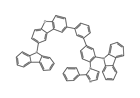 c1ccc(-c2nccn2-c2ccc(-c3cccc(-c4ccc5oc6ccc(-n7c8ccccc8c8ccccc87)cc6c5c4)c3)cc2-n2c3ccccc3c3ccccc32)cc1